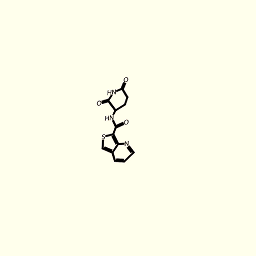 O=C1CCC(NC(=O)c2scc3cccnc23)C(=O)N1